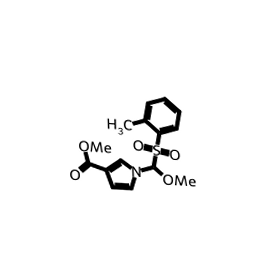 COC(=O)c1ccn(C(OC)S(=O)(=O)c2ccccc2C)c1